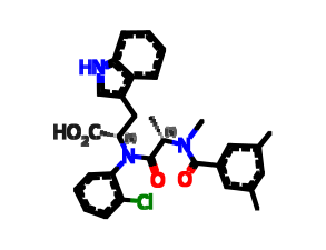 Cc1cc(C)cc(C(=O)N(C)[C@@H](C)C(=O)N(c2ccccc2Cl)[C@@H](Cc2c[nH]c3ccccc23)C(=O)O)c1